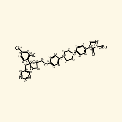 CCC(C)n1ncn(-c2ccc(N3CCN(c4ccc(OCC5COC(Cc6cncnc6)(c6ccc(Cl)cc6Cl)O5)cc4)CC3)cc2)c1=O